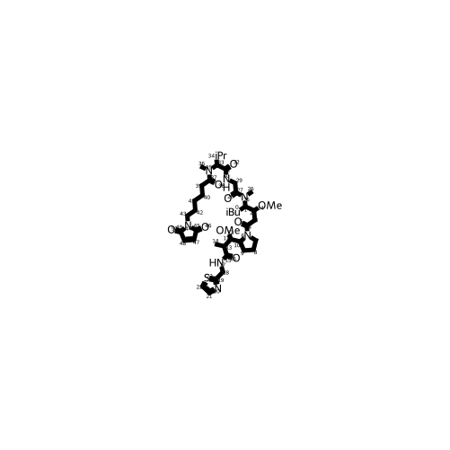 CCC(C)C(C(CC(=O)N1CCCC1C(OC)C(C)C(=O)NCc1nccs1)OC)N(C)C(=O)CNC(=O)C(C(C)C)N(C)C(=O)CCCCCN1C(=O)C=CC1=O